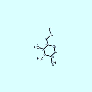 O[C@@H]1[C@@H](O)[C@@H](COI)OC[C@H]1O